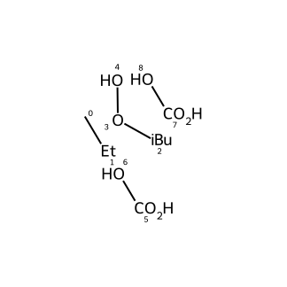 CCC.CCC(C)OO.O=C(O)O.O=C(O)O